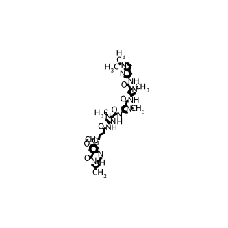 C=C1C[C@H]2C=Nc3cc(OCCCC(=O)Nc4cn(C)c(C(=O)Nc5cc(C(=O)Nc6cc(C(=O)Nc7cnc8c(ccn8C(C)C)c7)n(C)c6)n(C)c5)n4)c(OC)cc3C(=O)N2C1